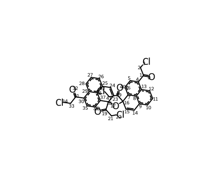 O=C(CCl)c1ccc2c3c(cccc13)C=CC2(OC1(C(=O)CCl)C=Cc2cccc3c(C(=O)CCl)ccc1c23)C(=O)CCl